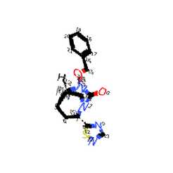 O=C1N2C[C@@H](CC[C@H]2c2ncns2)N1OCc1ccccc1